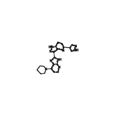 c1cc(N2CCCCC2)c2nc(-c3n[nH]c4ccc(-c5cn[nH]c5)nc34)[nH]c2n1